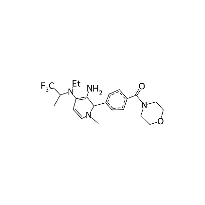 CCN(C1=C(N)C(c2ccc(C(=O)N3CCOCC3)cc2)N(C)C=C1)C(C)C(F)(F)F